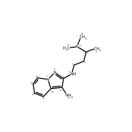 CC(CCNc1nn2ccccc2c1N)N(C)C